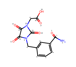 NC(=O)c1cccc(CN2C(=O)C(=O)N(CC(=O)O)C2=O)c1